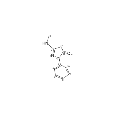 CNC1=NN(c2ccccc2)C(=O)C1